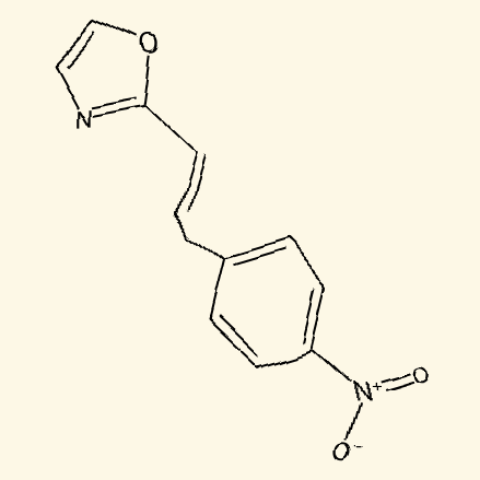 O=[N+]([O-])c1ccc(C=Cc2ncco2)cc1